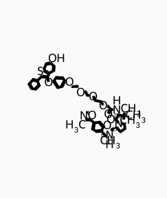 Cc1ncoc1-c1ccc([C@H](C)NC(=O)[C@@H]2CCCN2C(=O)[C@@H](NC(=O)COCCOCCOCCOc2ccc(Oc3c(-c4ccccc4)sc4cc(O)ccc34)cc2)C(C)(C)C)cc1